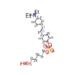 CCN(CC)c1ccc(/C=C/c2ccc(OS(=O)(=O)OCCCCCCO)cc2)cc1